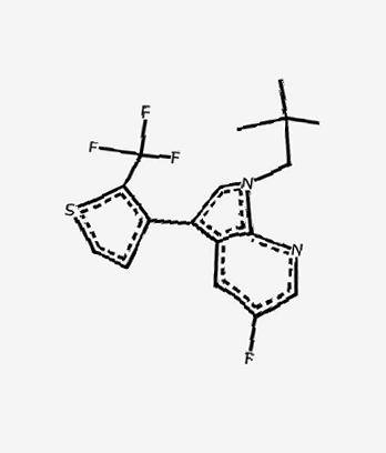 CC(C)(C)Cn1cc(-c2ccsc2C(F)(F)F)c2cc(F)cnc21